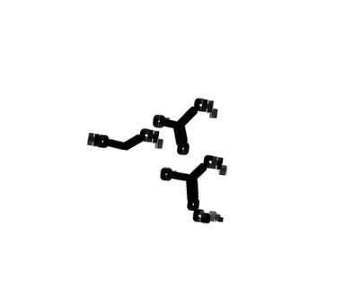 CC(=O)[O-].CC(=O)[O-].CCO.[Co+2]